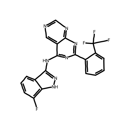 Fc1cccc2c(Nc3nc(-c4ccccc4C(F)(F)F)nc4ncncc34)n[nH]c12